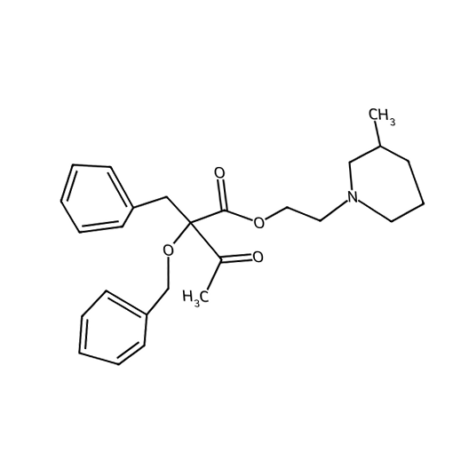 CC(=O)C(Cc1ccccc1)(OCc1ccccc1)C(=O)OCCN1CCCC(C)C1